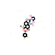 C=C1CCC2[C@]3(C)CO[C@@H](c4ccc(F)c(F)c4)O[C@@H]3CC[C@@]2(C)[C@@H]1CCN1C(=O)CCC1=O